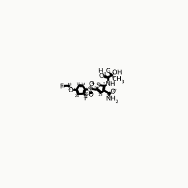 CC(C)(O)C(=O)Nc1sc(S(=O)(=O)c2ccc(OCF)cc2F)cc1C(N)=O